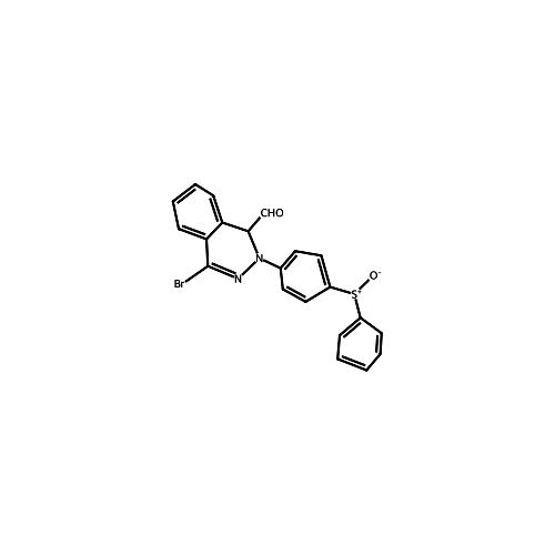 O=CC1c2ccccc2C(Br)=NN1c1ccc([S+]([O-])c2ccccc2)cc1